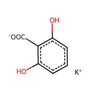 O=C([O-])c1c(O)cccc1O.[K+]